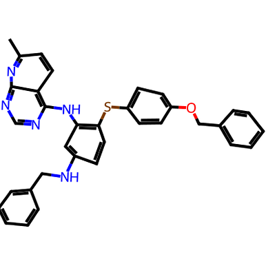 Cc1ccc2c(Nc3cc(NCc4ccccc4)ccc3Sc3ccc(OCc4ccccc4)cc3)ncnc2n1